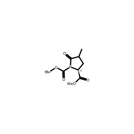 COC(=O)[C@@H]1CC(C)C(=O)N1C(=O)OC(C)(C)C